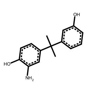 CC(C)(c1cccc(O)c1)c1ccc(O)c(N)c1